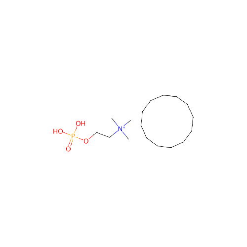 C1CCCCCCCCCCC1.C[N+](C)(C)CCOP(=O)(O)O